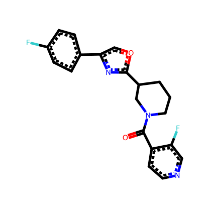 O=C(c1ccncc1F)N1CCCC(c2nc(-c3ccc(F)cc3)co2)C1